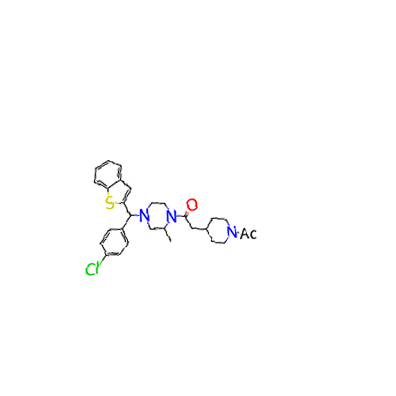 CC(=O)N1CCC(CC(=O)N2CCN(C(c3ccc(Cl)cc3)c3cc4ccccc4s3)CC2C)CC1